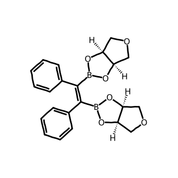 c1ccc(/C(B2O[C@H]3COC[C@H]3O2)=C(/B2O[C@H]3COC[C@H]3O2)c2ccccc2)cc1